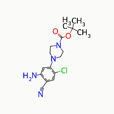 CC(C)(C)OC(=O)N1CCN(c2cc(N)c(C#N)cc2Cl)CC1